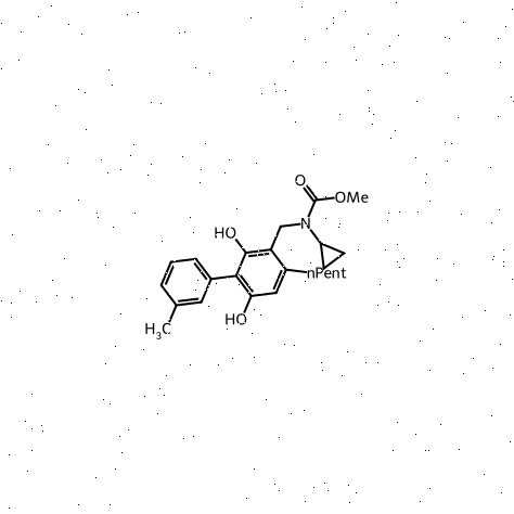 CCCCCc1cc(O)c(-c2cccc(C)c2)c(O)c1CN(C(=O)OC)C1CC1